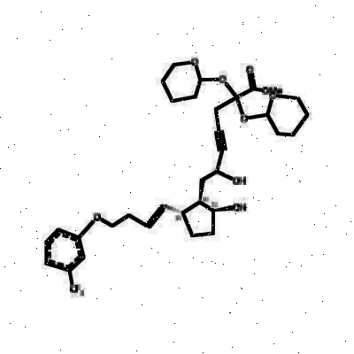 COC(=O)C(CC#CC(O)C[C@H]1[C@@H](O)CC[C@@H]1C=CCCOc1cccc(C(F)(F)F)c1)(OC1CCCCO1)OC1CCCCO1